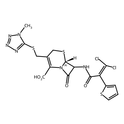 Cn1nnnc1SCC1=C(C(=O)O)N2C(=O)C(NC(=O)C(=C(Cl)Cl)c3cccs3)[C@H]2SC1